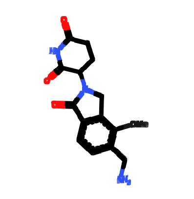 COc1c(CN)ccc2c1CN(C1CCC(=O)NC1=O)C2=O